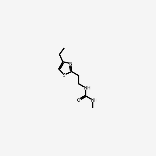 CCc1csc(CCNC(=O)NC)n1